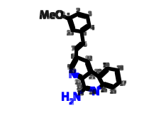 COc1cccc(C=Cc2cnc3c(N)nc4ccccc4c3c2)c1